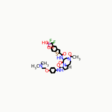 CC(=O)N1CC[C@H]2CC[C@@H](C(=O)Nc3ccc(OCCN(C)C)cc3)N2C(=O)[C@@H](NC(=O)c2cc3cc(C(F)(F)P(O)O)ccc3s2)C1